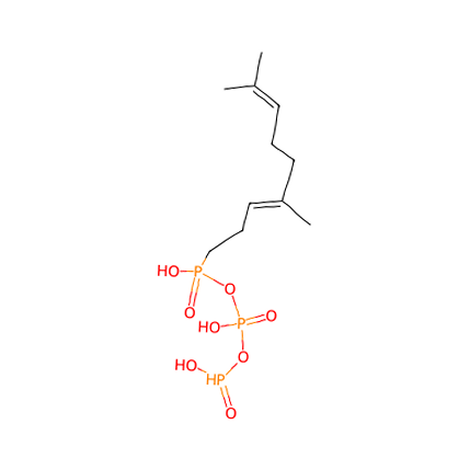 CC(C)=CCCC(C)=CCCP(=O)(O)OP(=O)(O)O[PH](=O)O